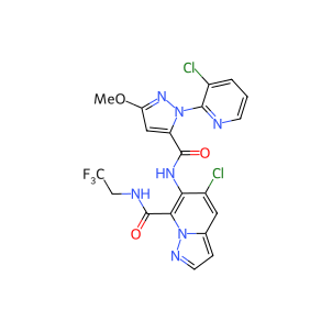 COc1cc(C(=O)Nc2c(Cl)cc3ccnn3c2C(=O)NCC(F)(F)F)n(-c2ncccc2Cl)n1